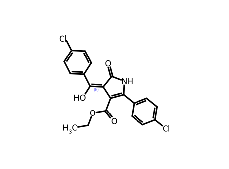 CCOC(=O)C1=C(c2ccc(Cl)cc2)NC(=O)/C1=C(/O)c1ccc(Cl)cc1